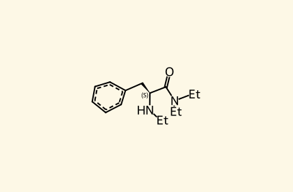 CCN[C@@H](Cc1ccccc1)C(=O)N(CC)CC